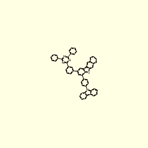 c1ccc(-c2nc(-c3ccccc3)nc(-c3cccc(-c4cc(-c5ccc(-n6c7ccccc7c7ccccc76)cc5)c5oc6cc7ccccc7cc6c5c4)c3)n2)cc1